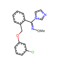 CON=C(c1ccccc1COc1cccc(Cl)c1)n1ccnc1